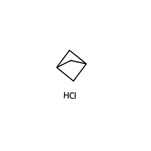 C1C2CC1C2.Cl